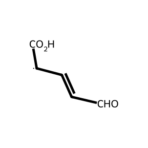 O=CC=C[CH]C(=O)O